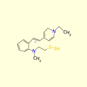 CCN1C=CC(/C=C/c2ccccc2N(C)CCSS)=CC1